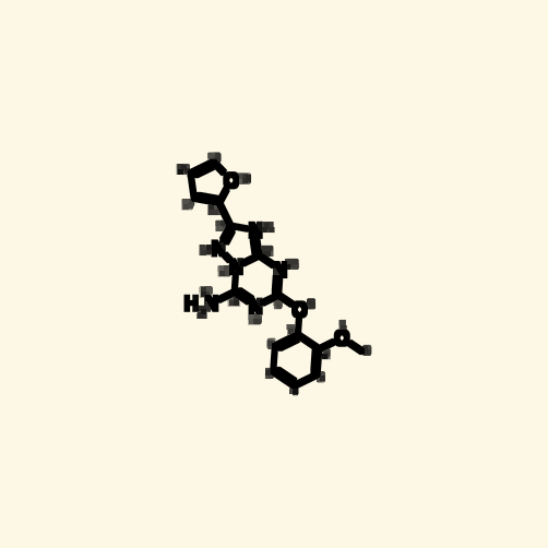 COc1ccccc1Oc1nc(N)n2nc(-c3ccco3)nc2n1